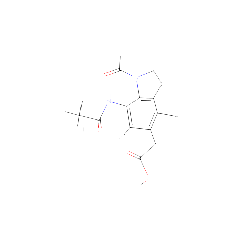 COC(=O)Cc1c(C)c2c(c(NC(=O)C(C)(C)C)c1C)N(C(C)=O)CC2